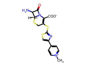 C[n+]1ccc(-c2csc(SC3=C(C(=O)[O-])N4C(=O)C(N)[C@H]4SC3)n2)cc1